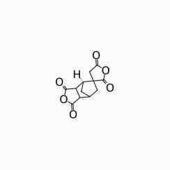 O=C1CC2(CC3C[C@H]2C2C(=O)OC(=O)C32)C(=O)O1